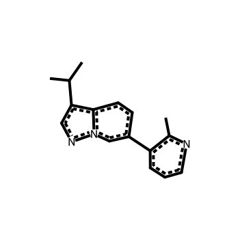 Cc1ncccc1-c1ccc2c(C(C)C)cnn2c1